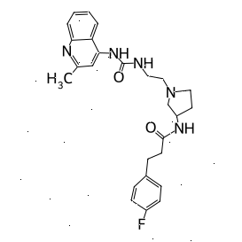 Cc1cc(NC(=O)NCCN2CCC(NC(=O)CCc3ccc(F)cc3)C2)c2ccccc2n1